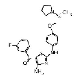 C[C@H](COc1ccc(Nc2nc(N)c(C(=O)c3cccc(F)c3)s2)cc1)N1CCCC1